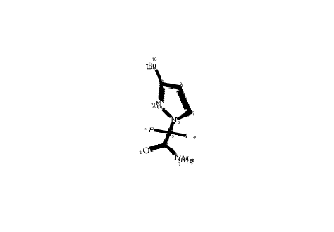 CNC(=O)C(F)(F)n1ccc(C(C)(C)C)n1